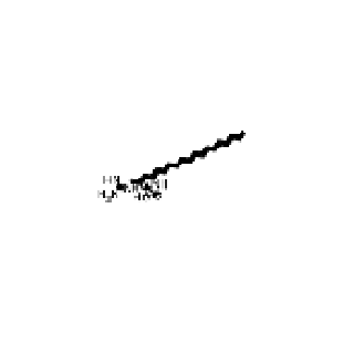 CCCCCCCCCCCCCCCC(CCCNC(=N)N)NS(=O)(=O)O